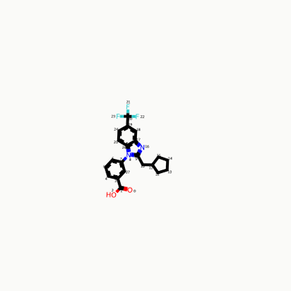 O=C(O)c1cccc(-n2c(CC3CCCC3)nc3cc(C(F)(F)F)ccc32)c1